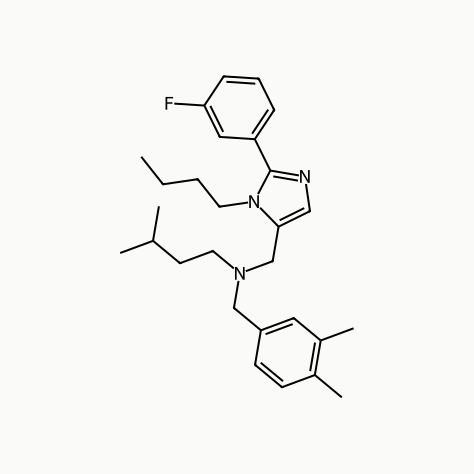 CCCCn1c(CN(CCC(C)C)Cc2ccc(C)c(C)c2)cnc1-c1cccc(F)c1